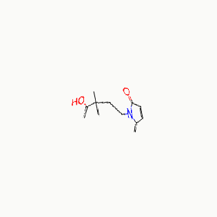 C=C1C=CC(=O)N1CCC(C)(C)C(=C)O